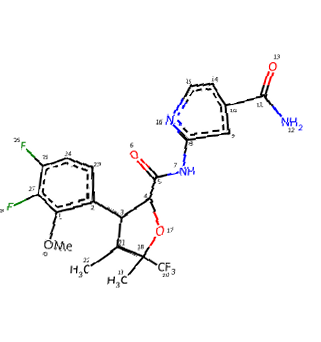 COc1c(C2C(C(=O)Nc3cc(C(N)=O)ccn3)OC(C)(C(F)(F)F)C2C)ccc(F)c1F